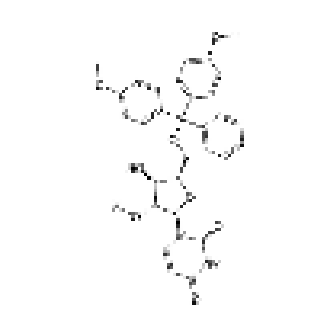 COc1ccc(C(OC[C@H]2O[C@@H](n3ccc(=O)[nH]c3=O)[C@H](OF)[C@H]2O)(c2ccccc2)c2ccc(OC)cc2)cc1